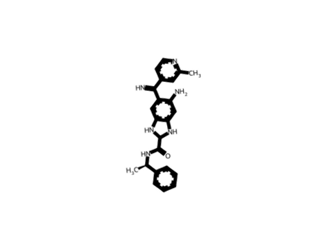 Cc1cc(C(=N)c2cc3c(cc2N)NC(C(=O)N[C@H](C)c2ccccc2)N3)ccn1